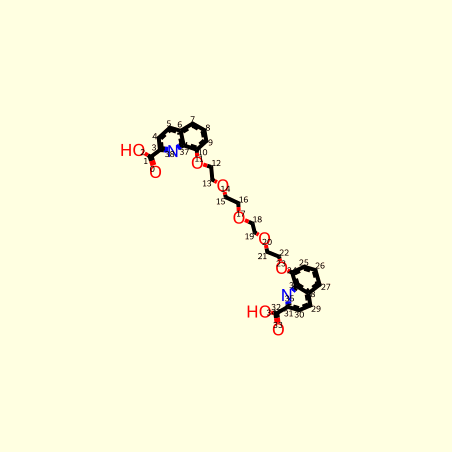 O=C(O)c1ccc2cccc(OCCOCCOCCOCCOc3cccc4ccc(C(=O)O)nc34)c2n1